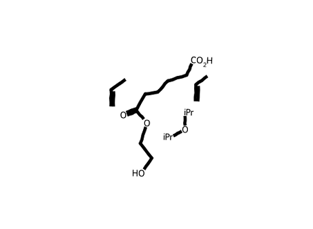 C=CC.C=CC.CC(C)OC(C)C.O=C(O)CCCCC(=O)OCCO